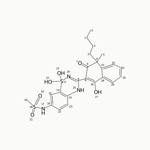 CCCCC1(C)C(=O)C(C2=NS(O)(O)c3cc(NS(C)(=O)=O)ccc3N2)=C(O)c2ccccc21